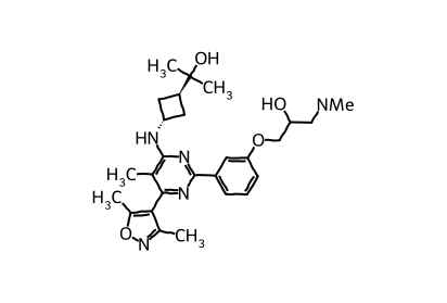 CNCC(O)COc1cccc(-c2nc(N[C@H]3C[C@H](C(C)(C)O)C3)c(C)c(-c3c(C)noc3C)n2)c1